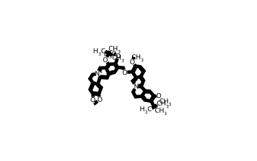 COc1cc2c(cc1C(C)(C)C)CC[n+]1cc3c(OCc4cc5cc6[n+](cc5c(OC(C)(C)C)c4OC)CCc4cc5c(cc4-6)OCO5)c(OC)ccc3cc1-2